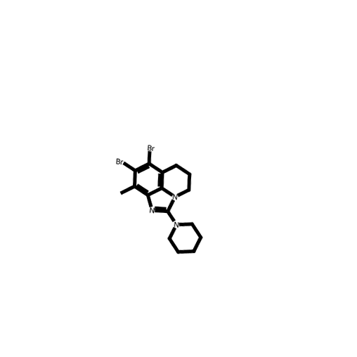 Cc1c(Br)c(Br)c2c3c1nc(N1CCCCC1)n3CCC2